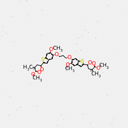 COC(=O)[C@@H](C)CC(=O)c1cc2cc(OCCCOc3cc4sc(C(=O)C[C@H](C)C(=O)OC)cc4cc3OC)c(OC)cc2s1